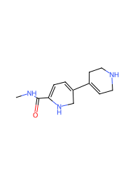 CNC(=O)C1=CC=C(C2=CCNCC2)CN1